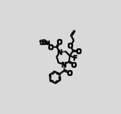 C=CCOC(=O)C1(F)CN(C(=O)OC(C)(C)C)CCN(C(=O)c2ccccc2)C1=O